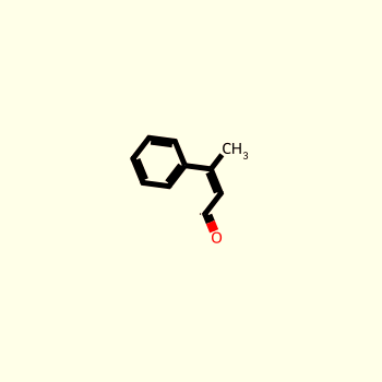 C/C(=C/[C]=O)c1ccccc1